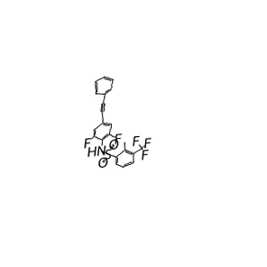 Cc1c(C(F)(F)F)cccc1S(=O)(=O)Nc1c(F)cc(C#Cc2ccccc2)cc1F